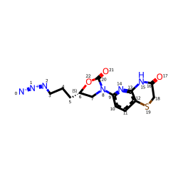 [N-]=[N+]=NCCC[C@H]1CN(c2ccc3c(n2)NC(=O)CS3)C(=O)O1